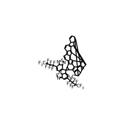 CC1c2c3c4c5c2C2C6=c7c8c9c%10c(ccc%11c%12ccc%13c(c4c4c%13c%12c(c%10%11)c8c4c75)C4C3C4(c3cc(C(F)(F)C(F)(F)C(F)(F)C(F)(F)F)cc4nsnc34)c3ccc(C(F)(F)C(F)(F)C(F)(F)C(F)(F)F)c4nsnc34)C3C=CC(C6C93)C12